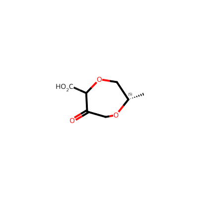 C[C@H]1COC(C(=O)O)C(=O)CO1